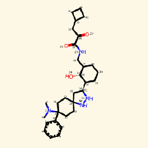 CN(C)C1(c2ccccc2)CCC2(CC1)C[C@@H](C1CCCC(CNC(=O)C(=O)CC3CCC3)[C@H]1O)NN2